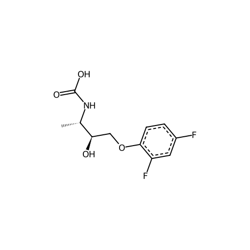 C[C@H](NC(=O)O)[C@H](O)COc1ccc(F)cc1F